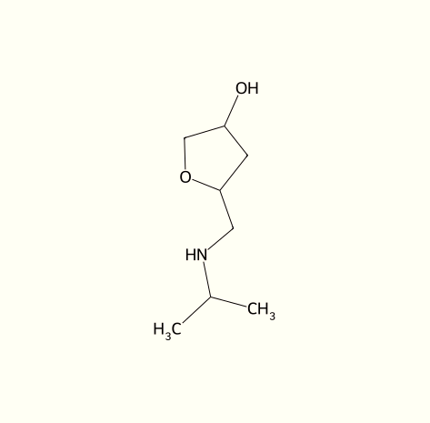 CC(C)NCC1CC(O)CO1